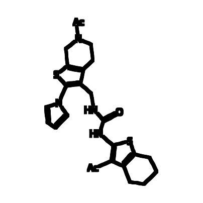 CC(=O)c1c(NC(=O)NCc2c(-n3cccc3)sc3c2CCN(C(C)=O)C3)sc2c1CCCC2